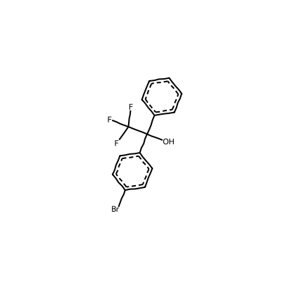 OC(c1ccccc1)(c1ccc(Br)cc1)C(F)(F)F